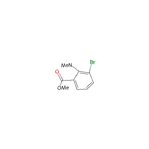 CNc1c(Br)cccc1C(=O)OC